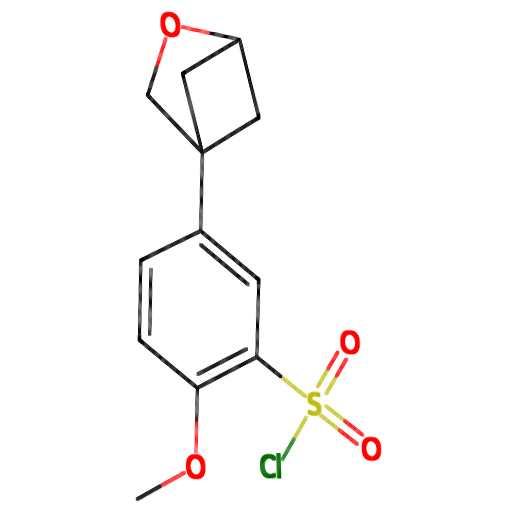 COc1ccc(C23COC(C2)C3)cc1S(=O)(=O)Cl